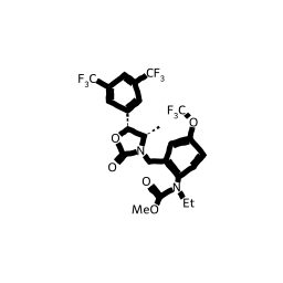 CCN(C(=O)OC)c1ccc(OC(F)(F)F)cc1CN1C(=O)O[C@H](c2cc(C(F)(F)F)cc(C(F)(F)F)c2)[C@@H]1C